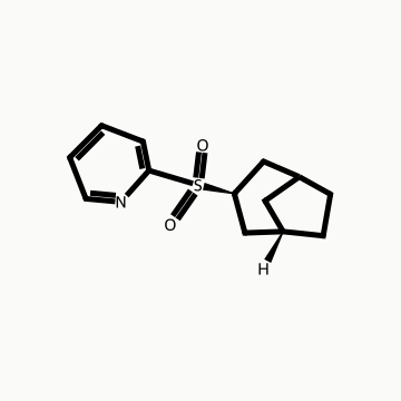 O=S(=O)(c1ccccn1)[C@H]1CC2CC[C@@H](C2)C1